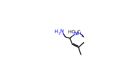 CC(=O)O.CC(C)=CC(N)CN